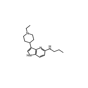 CCCNc1ccc2[nH]cc(C3CCN(CC)CC3)c2n1